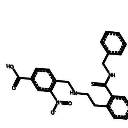 O=C(O)c1ccc(CNCCc2ccccc2C(=S)NCc2ccccc2)c([N+](=O)[O-])c1